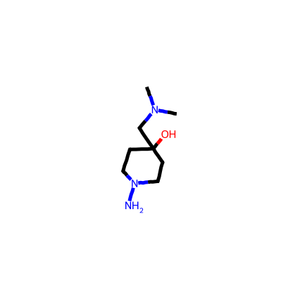 CN(C)CC1(O)CCN(N)CC1